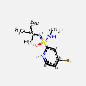 CC(C)(C)[Si](C)(C)N=S(=O)(NC(=O)O)c1cc(Br)ccn1